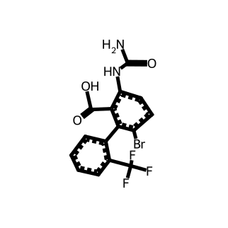 NC(=O)Nc1ccc(Br)c(-c2ccccc2C(F)(F)F)c1C(=O)O